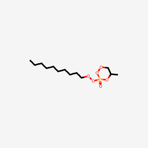 CCCCCCCCCCOOP1(=O)OOCC(C)O1